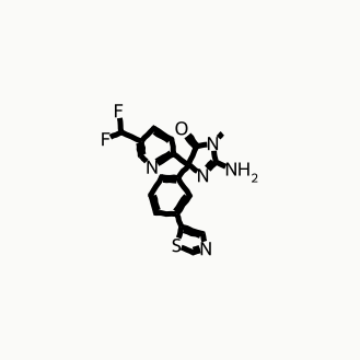 CN1C(=O)C(c2cccc(-c3cncs3)c2)(c2ccc(C(F)F)cn2)N=C1N